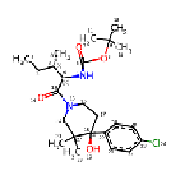 CC[C@H](C)[C@@H](NC(=O)OC(C)(C)C)C(=O)N1CC[C@](O)(c2ccc(Cl)cc2)C(C)(C)C1